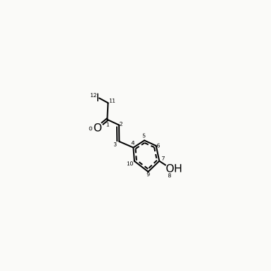 O=C(C=Cc1ccc(O)cc1)CI